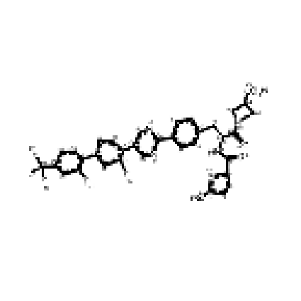 CC(C)(C)c1ccc(C(=O)N[C@@H](Cc2ccc(-c3ncc(-c4ccc(-c5ccc(C(C)(F)F)cc5F)cc4F)cn3)cc2)C(=O)N2CC(C(=O)O)C2)s1